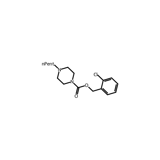 [CH2]CCCCN1CCN(C(=O)OCc2ccccc2Cl)CC1